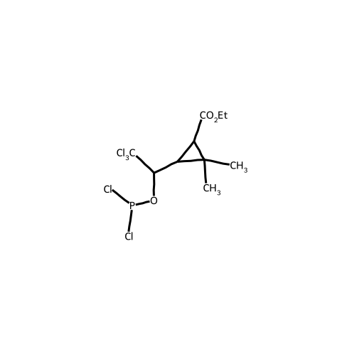 CCOC(=O)C1C(C(OP(Cl)Cl)C(Cl)(Cl)Cl)C1(C)C